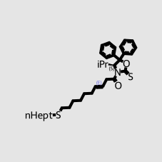 CCCCCCCSCCCCCC/C=C/CC(=O)N1C(=S)OC(c2ccccc2)(c2ccccc2)[C@@H]1C(C)C